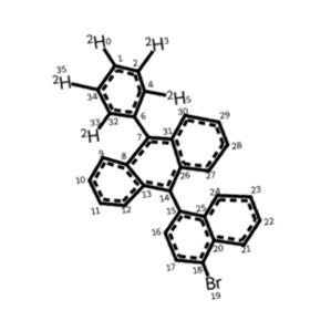 [2H]c1c([2H])c([2H])c(-c2c3ccccc3c(-c3ccc(Br)c4ccccc34)c3ccccc23)c([2H])c1[2H]